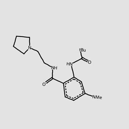 CNc1ccc(C(=O)NCCN2CCCC2)c(NC(=O)C(C)(C)C)c1